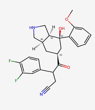 COc1ccccc1[C@]1(O)C[C@@H](C(=O)C(CC#N)c2ccc(F)c(F)c2)C[C@H]2CNC[C@H]21